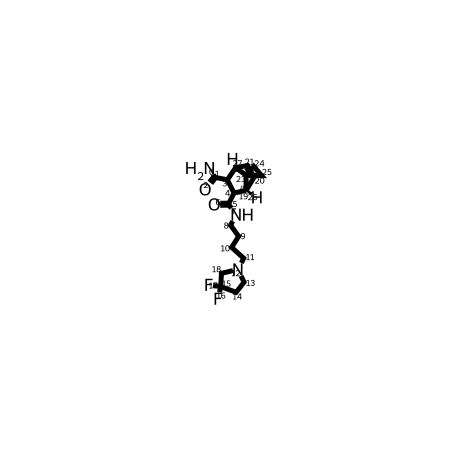 NC(=O)C1C(C(=O)NCCCCN2CCC(F)(F)C2)[C@H]2C=C[C@@H]1C21CC1